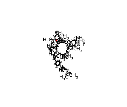 CC[C@H]1OC(=O)[C@H](C)[C@@H](O[C@H]2C[C@@](C)(OC)[C@@H](O)[C@H](C)O2)[C@H](C)[C@@H](O[C@@H]2O[C@H](C)C[C@H](N(C)CCc3cn(CCCCc4ccc(-n5cc(CN(CC)CC)nn5)cc4)nn3)[C@H]2O)[C@](C)(O)C[C@@H](C)CN(C)[C@H](C)[C@@H](O)[C@]1(C)O